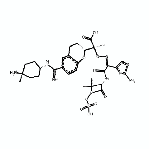 CC1(C)[C@H](NC(=O)/C(=N\O[C@](C)(C(=O)O)[C@H]2CCc3cc(C(=N)N[C@H]4CC[C@@](C)(N)CC4)ccc3O2)c2csc(N)n2)C(=O)N1OS(=O)(=O)O